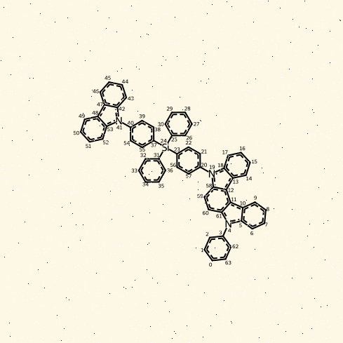 c1ccc(-n2c3ccccc3c3c4c5ccccc5n(-c5ccc([Si](c6ccccc6)(c6ccccc6)c6ccc(-n7c8ccccc8c8ccccc87)cc6)cc5)c4ccc32)cc1